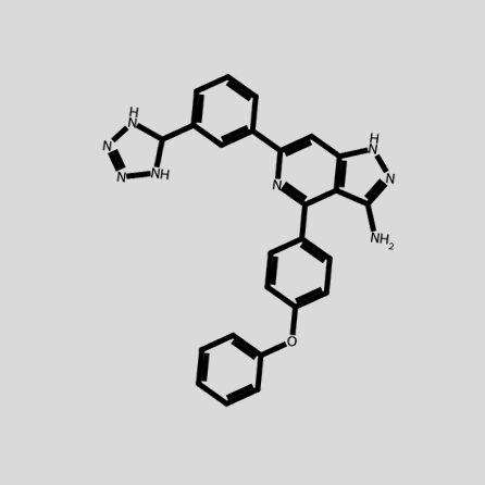 Nc1n[nH]c2cc(-c3cccc(C4NN=NN4)c3)nc(-c3ccc(Oc4ccccc4)cc3)c12